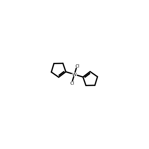 [Cl][W]([Cl])([C]1=CCCC1)[C]1=CCCC1